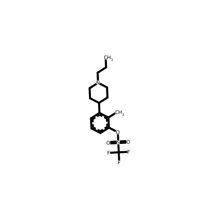 CCCN1CCC(c2cccc(OS(=O)(=O)C(F)(F)F)c2C)CC1